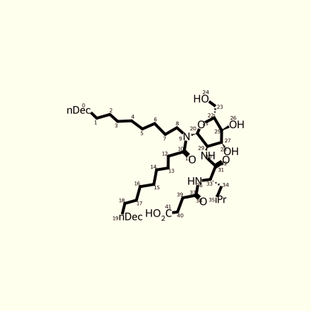 CCCCCCCCCCCCCCCCCCN(C(=O)CCCCCCCCCCCCCCCCC)[C@@H]1O[C@H](CO)[C@@H](O)[C@H](O)[C@@H]1NC(=O)[C@H](CC(C)C)NC(=O)CCC(=O)O